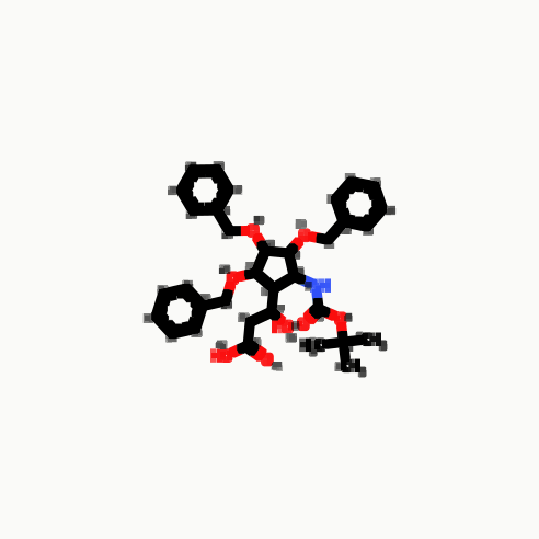 CC(C)(C)OC(=O)NC1C(OCc2ccccc2)C(OCc2ccccc2)C(OCc2ccccc2)C1C(O)CC(=O)O